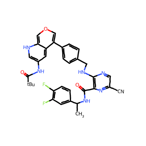 CC(NC(=O)c1nc(C#N)cnc1NCc1ccc(C2=COC=C3NC=C(NC(=O)C(C)(C)C)C=C32)cc1)c1ccc(F)c(F)c1